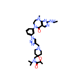 CCNc1ncc2c(n1)N(C)CCN(c1cccc(-n3cc(CN4CCC5(CC4)CN(C(C)C)C(=O)C(C)O5)nn3)c1)C2=O